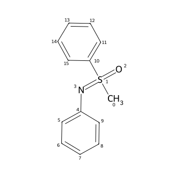 CS(=O)(=Nc1ccccc1)c1ccccc1